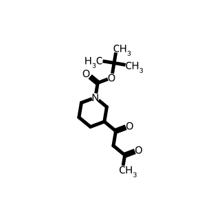 CC(=O)CC(=O)C1CCCN(C(=O)OC(C)(C)C)C1